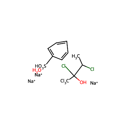 CC(Cl)C(O)(Cl)C(Cl)(Cl)Cl.O.O=S(=O)(O)c1ccccc1.[Na+].[Na+].[Na+]